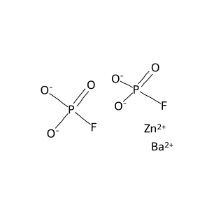 O=P([O-])([O-])F.O=P([O-])([O-])F.[Ba+2].[Zn+2]